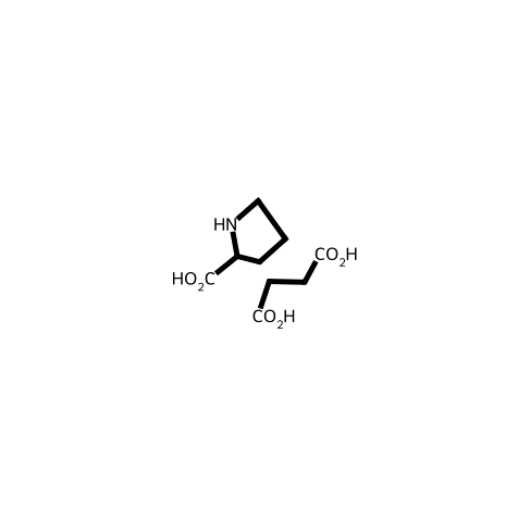 O=C(O)C1CCCN1.O=C(O)CCC(=O)O